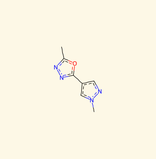 Cc1nnc(-c2cnn(C)c2)o1